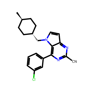 C[C@H]1CC[C@H](Cn2ccc3nc(C#N)nc(-c4cccc(Cl)c4)c32)CC1